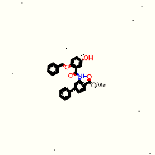 COC(=O)c1ccc(-c2ccccc2)cc1NC(=O)c1cc(O)ccc1OCc1ccccc1